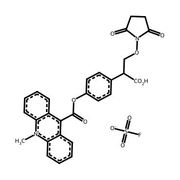 C[n+]1c2ccccc2c(C(=O)Oc2ccc(C(CON3C(=O)CCC3=O)C(=O)O)cc2)c2ccccc21.O=S(=O)([O-])F